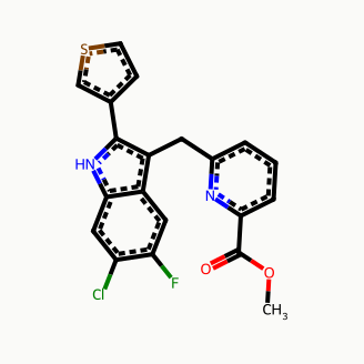 COC(=O)c1cccc(Cc2c(-c3ccsc3)[nH]c3cc(Cl)c(F)cc23)n1